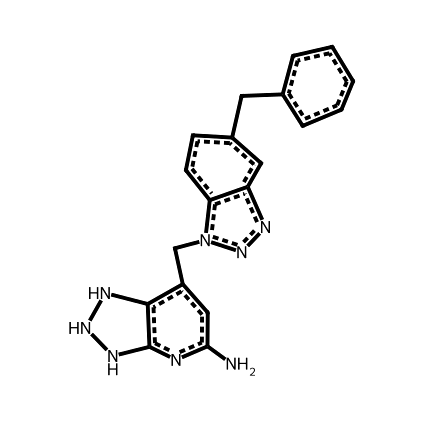 Nc1cc(Cn2nnc3cc(Cc4ccccc4)ccc32)c2c(n1)NNN2